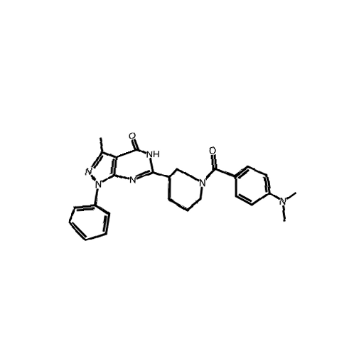 Cc1nn(-c2ccccc2)c2nc(C3CCCN(C(=O)c4ccc(N(C)C)cc4)C3)[nH]c(=O)c12